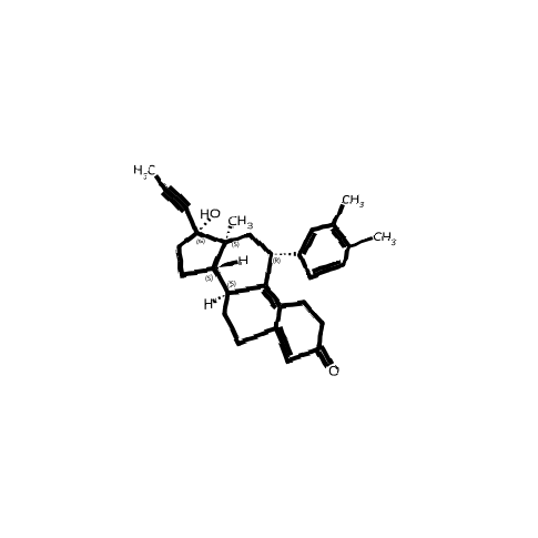 CC#C[C@]1(O)CC[C@H]2[C@@H]3CCC4=CC(=O)CCC4=C3[C@@H](c3ccc(C)c(C)c3)C[C@@]21C